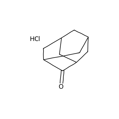 Cl.O=C1C2CC3CC(C2)CC1C3